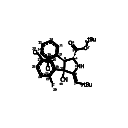 CC(C)(C)/C=C1\N[C@@H](C(=O)OC(C)(C)C)[C@H](c2ccccc2Cl)[C@@]1(C#N)c1cc(Cl)ccc1F